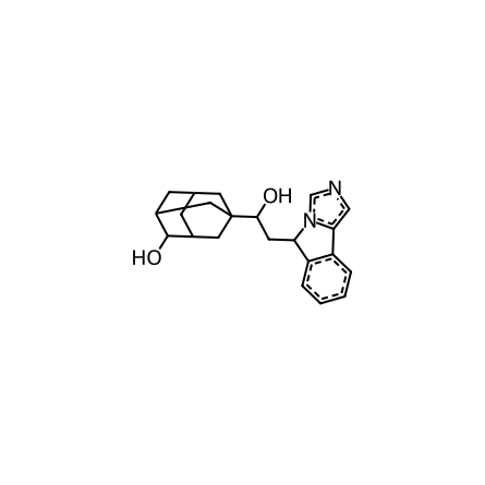 OC1C2CC3CC1CC(C(O)CC1c4ccccc4-c4cncn41)(C3)C2